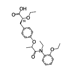 CCOc1ccccc1N(CC)C(=O)C(C)Oc1ccc(C[C@H](OCC)C(=O)O)cc1